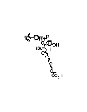 Cc1ncsc1-c1ccc(CNC(=O)[C@@H]2C[C@@H](O)CN2C(=O)[C@@H](NC(=O)COCCOCCO[C@@H](C)C(=O)O)C(C)(C)C)cc1